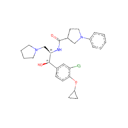 O=C(N[C@H](CN1CCCC1)[C@H](O)c1ccc(OC2CC2)c(Cl)c1)C1CCN(c2ccccc2)C1